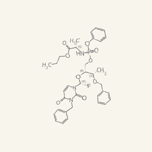 CCCOC(=O)[C@H](C)NP(=O)(OC[C@@H](O[C@H](F)n1ccc(=O)n(Cc2ccccc2)c1=O)[C@H](C)OCc1ccccc1)Oc1ccccc1